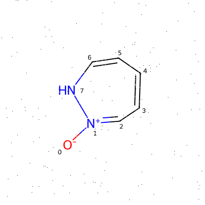 [O-][N+]1=CC=CC=CN1